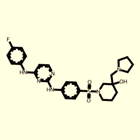 O=S(=O)(c1ccc(Nc2nccc(Nc3ccc(F)cc3)n2)cc1)N1CCCC(O)(CN2CCCC2)C1